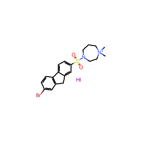 C[N+]1(C)CCCN(S(=O)(=O)c2ccc3c(c2)Cc2cc(Br)ccc2-3)CC1.I